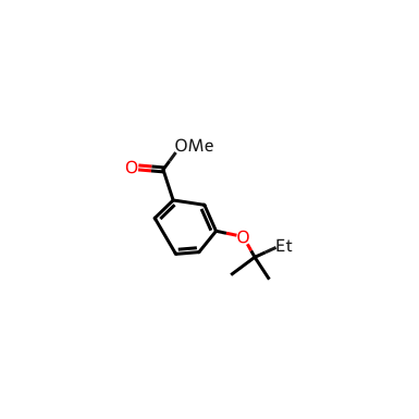 CCC(C)(C)Oc1cccc(C(=O)OC)c1